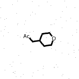 CC(=O)CC1CCOCC1